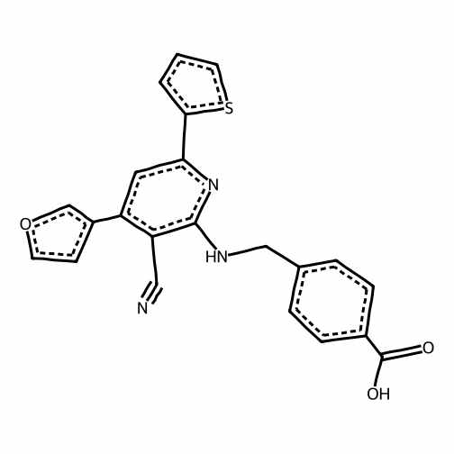 N#Cc1c(-c2ccoc2)cc(-c2cccs2)nc1NCc1ccc(C(=O)O)cc1